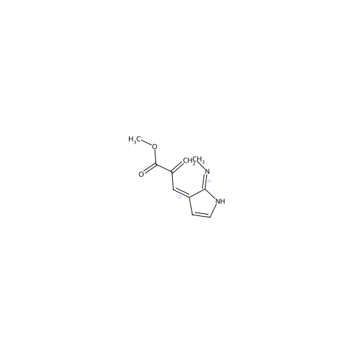 C=C(/C=C1/C=CN/C1=N/C)C(=O)OC